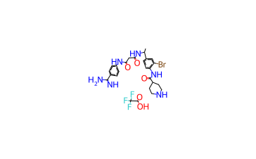 CC(NC(=O)CC(=O)Nc1ccc(C(=N)N)cc1)c1ccc(NC(=O)C2CCNCC2)c(Br)c1.O=C(O)C(F)(F)F